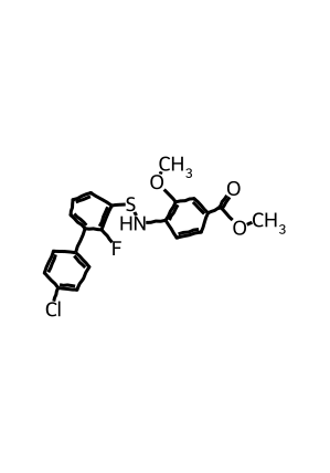 COC(=O)c1ccc(NSc2cccc(-c3ccc(Cl)cc3)c2F)c(OC)c1